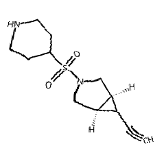 C#CC1[C@H]2CN(S(=O)(=O)C3CCNCC3)C[C@@H]12